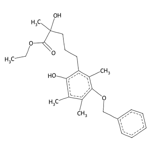 CCOC(=O)C(C)(O)CCCc1c(C)c(OCc2ccccc2)c(C)c(C)c1O